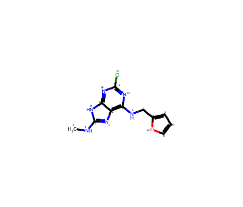 CNc1nc2c(NCc3ccco3)nc(Cl)nc2[nH]1